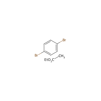 Brc1ccc(Br)cc1.CCOC(C)=O